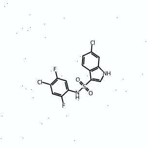 O=S(=O)(Nc1cc(F)c(Cl)cc1F)c1c[nH]c2cc(Cl)ccc12